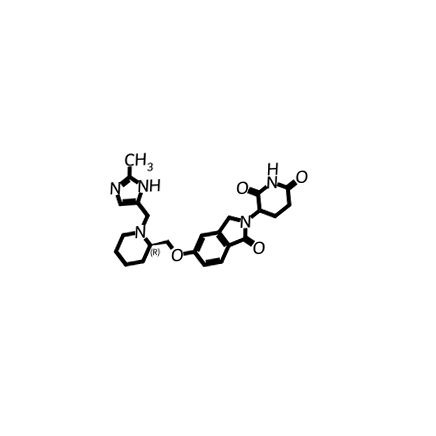 Cc1ncc(CN2CCCC[C@@H]2COc2ccc3c(c2)CN(C2CCC(=O)NC2=O)C3=O)[nH]1